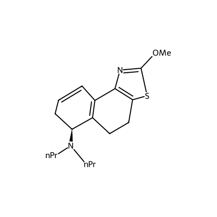 CCCN(CCC)[C@H]1CC=CC2=C1CCc1sc(OC)nc12